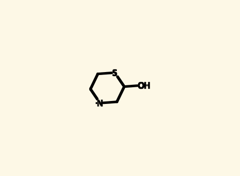 OC1C[N]CCS1